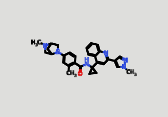 Cc1cc(N2CC3CC2CN3C)ccc1C(=O)NC1(c2cc(-c3cnn(C)c3)nc3ccccc23)CC1